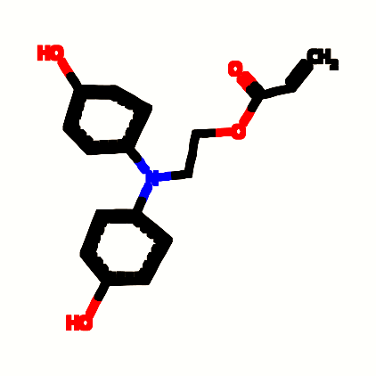 C=CC(=O)OCCN(c1ccc(O)cc1)c1ccc(O)cc1